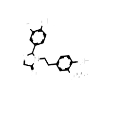 COc1cc(CCN2C(=O)CSC2c2ccc(C(F)(F)F)c(F)c2)ccc1O